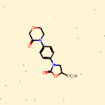 O=C(O)C1CN(c2ccc(N3CCOCC3=O)cc2)C(=O)O1